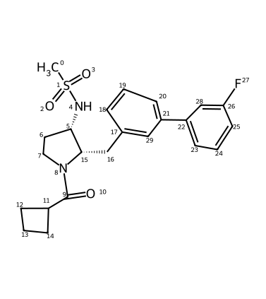 CS(=O)(=O)N[C@H]1CCN(C(=O)C2CCC2)[C@H]1Cc1cccc(-c2cccc(F)c2)c1